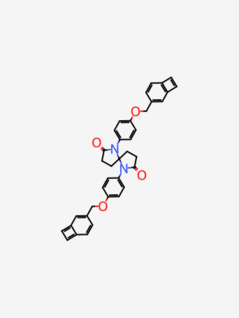 O=C1CCC2(CCC(=O)N2c2ccc(OCc3ccc4c(c3)=CC=4)cc2)N1c1ccc(OCc2ccc3c(c2)C=C3)cc1